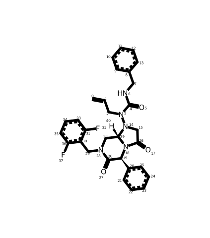 C=CCN(C(=O)NCc1ccccc1)N1CC(=O)N2[C@@H](c3ccccc3)C(=O)N(Cc3c(F)cccc3F)C[C@@H]21